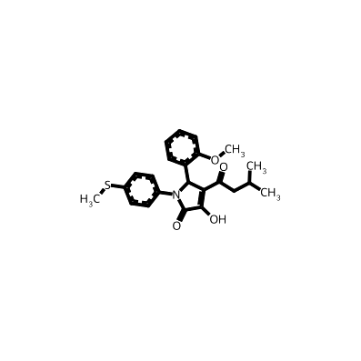 COc1ccccc1C1C(C(=O)CC(C)C)=C(O)C(=O)N1c1ccc(SC)cc1